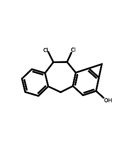 Oc1cc2c(c3c1C3)C(Cl)C(Cl)c1ccccc1C2